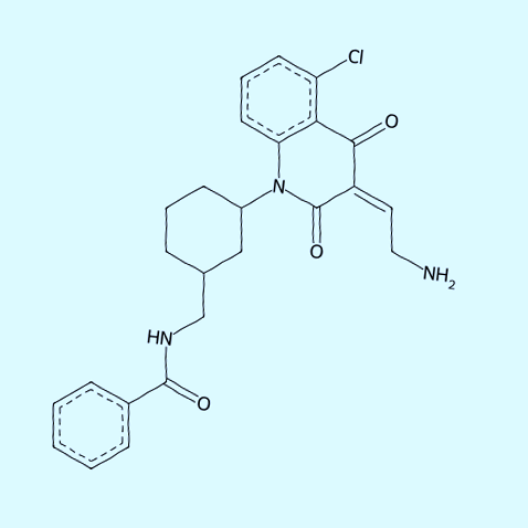 NCC=C1C(=O)c2c(Cl)cccc2N(C2CCCC(CNC(=O)c3ccccc3)C2)C1=O